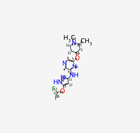 C[C@@H]1C[C@@H](Oc2cncc(Nc3cc(OC(F)F)[nH]n3)n2)CCN1C